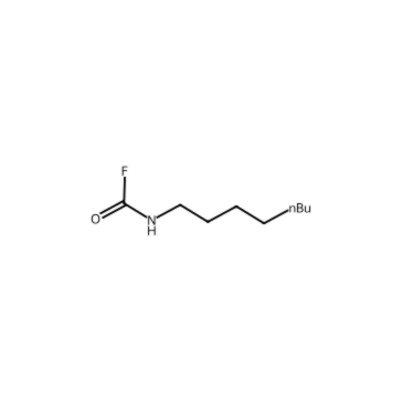 CCCCCCCCNC(=O)F